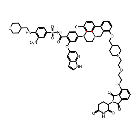 O=C1CCC(N2C(=O)c3cccc(NCCOCCN4CCC(COc5cccc(-c6ccc(Cl)cc6)c5CN5CCN(c6ccc(C(=O)NS(=O)(=O)c7ccc(NCC8CCOCC8)c([N+](=O)[O-])c7)c(Oc7cnc8[nH]ccc8c7)c6)CC5)CC4)c3C2=O)C(=O)N1